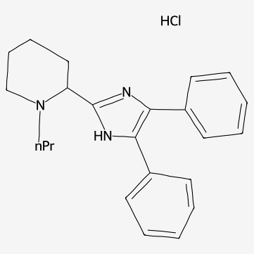 CCCN1CCCCC1c1nc(-c2ccccc2)c(-c2ccccc2)[nH]1.Cl